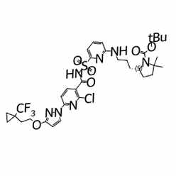 CC(C)(C)OC(=O)N1[C@@H](CCCNc2cccc(S(=O)(=O)NC(=O)c3ccc(-n4ccc(OCCC5(C(F)(F)F)CC5)n4)nc3Cl)n2)CCC1(C)C